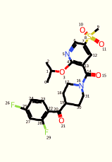 CC(C)Oc1ncc(S(C)(=O)=O)cc1C(=O)N1CCC(C(=O)c2ccc(F)cc2F)CC1